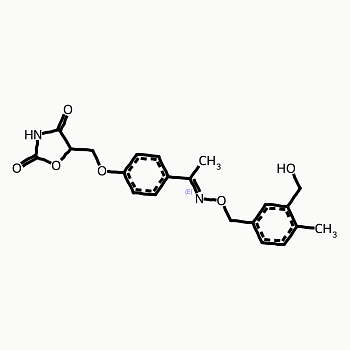 C/C(=N\OCc1ccc(C)c(CO)c1)c1ccc(OCC2OC(=O)NC2=O)cc1